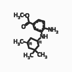 COC(=O)c1ccc(N)c(N[C@@H]2C[C@H](C)CC(C)(C)C2)c1